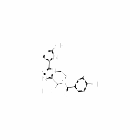 CC1c2nnc(-c3csc(C(F)(F)F)n3)n2CCN1C(=O)c1ccc(Cl)c(F)c1